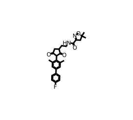 Cc1cc(-c2ccc(F)cc2)cc(C)c1C1C(=O)CC(CCNC(=O)C2=NOC(C)(C)C2)C1=O